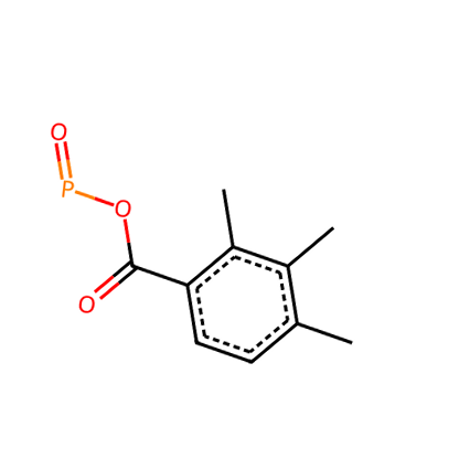 Cc1ccc(C(=O)OP=O)c(C)c1C